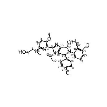 COc1cnc(N(C)CCO)nc1-c1nc2c(n1C(C)C)C(c1ccc(Cl)cc1)N(c1cccc(Cl)c1F)C2O